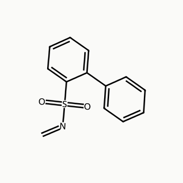 C=NS(=O)(=O)c1ccccc1-c1ccccc1